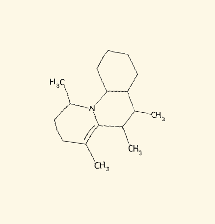 CC1=C2C(C)C(C)C3CCCCC3N2C(C)CC1